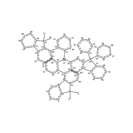 CC1(C)c2ccccc2-c2c(-c3ccccc3N(c3ccc4c(c3)C(c3ccccc3)(c3ccccc3)c3ccccc3-4)c3ccccc3-c3cccc4c3C(C)(C)c3ccccc3-4)cccc21